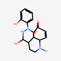 O=C1C=CC2N(Cl)CCC3C(O)NN(c4ccccc4O)C(=O)C32C1